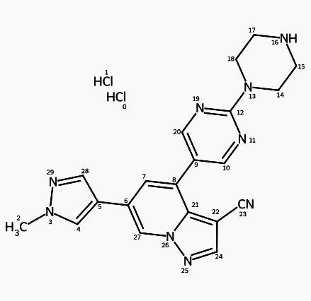 Cl.Cl.Cn1cc(-c2cc(-c3cnc(N4CCNCC4)nc3)c3c(C#N)cnn3c2)cn1